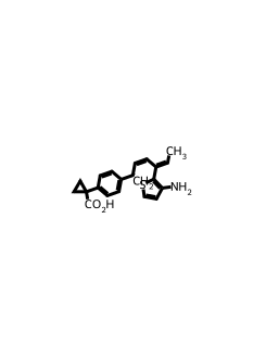 C=C(/C=C\C(=C/C)c1sccc1N)c1ccc(C2(C(=O)O)CC2)cc1